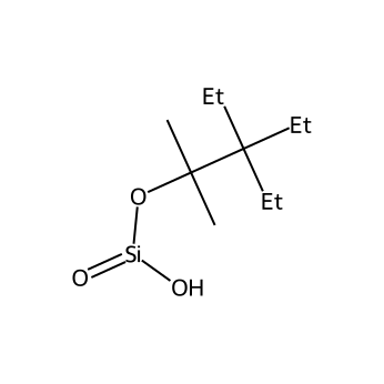 CCC(CC)(CC)C(C)(C)O[Si](=O)O